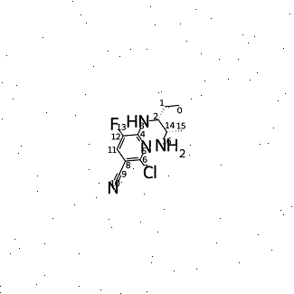 CC[C@@H](Nc1nc(Cl)c(C#N)cc1F)[C@H](C)N